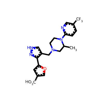 CC1CN(Cc2c[nH]nc2-c2cc(C(=O)O)co2)CCN1c1ccc(C(F)(F)F)cn1